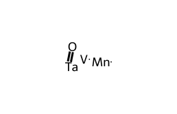 [Mn].[O]=[Ta].[V]